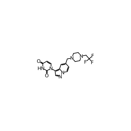 O=c1ccn(-c2cnn3ccc(CN4CCN(CC(F)(F)F)CC4)cc23)c(=O)[nH]1